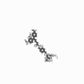 CN(C)c1ccc2c(c1)S(C)(C)c1cc(N(C)C)ccc1C2=CCCC(=O)NCc1ccc(COc2nc(N)nc3[nH]cnc23)cc1